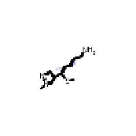 CS/C(=C\C=C\CN)c1cnn(C)c1